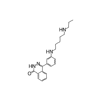 CCCNCCCCCNc1cccc(-c2n[nH]c(=O)c3ccccc23)c1